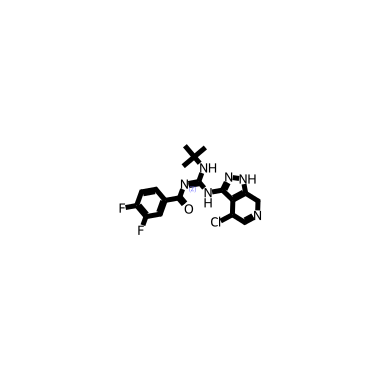 CC(C)(C)N/C(=N/C(=O)c1ccc(F)c(F)c1)Nc1n[nH]c2c1C(Cl)C=NC2